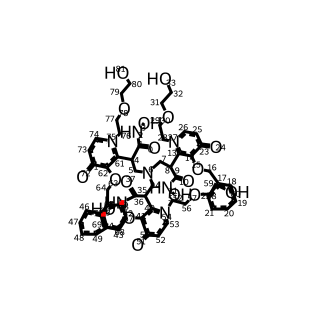 O=C(NO)C(CN(CC(C(=O)NO)c1c(OCc2ccccc2)c(=O)ccn1CCOCCO)CC(C(=O)NO)c1c(OCc2ccccc2)c(=O)ccn1CCOCCO)c1c(OCc2ccccc2)c(=O)ccn1CCOCCO